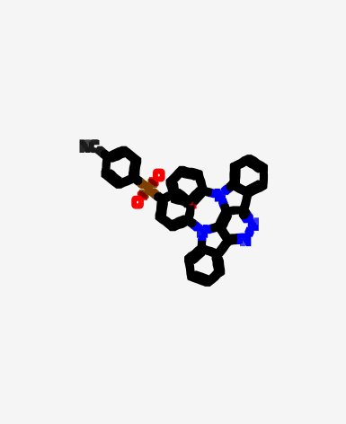 N#Cc1ccc(S(=O)(=O)c2ccc(-n3c4ccccc4c4nnc5c6ccccc6n(-c6ccccc6)c5c43)cc2)cc1